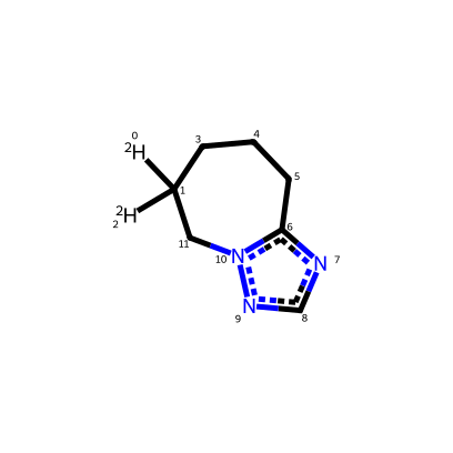 [2H]C1([2H])CCCc2ncnn2C1